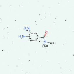 CCCCN(CCCC)C(=O)c1ccc(N)c(N)c1